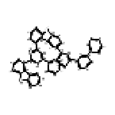 c1ccc(-c2cccc(-c3cccc(-c4ccc5oc6cccc(-c7cc(-c8ccccc8)nc(-c8cccc9oc%10ccccc%10c89)n7)c6c5c4)c3)c2)cc1